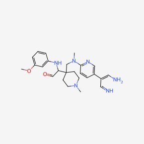 COc1cccc(NC(C=O)C2(CN(C)c3ccc(/C(C=N)=C/N)cn3)CCN(C)CC2)c1